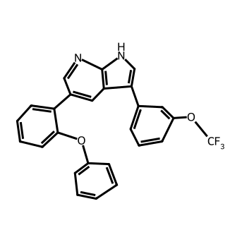 FC(F)(F)Oc1cccc(-c2c[nH]c3ncc(-c4ccccc4Oc4ccccc4)cc23)c1